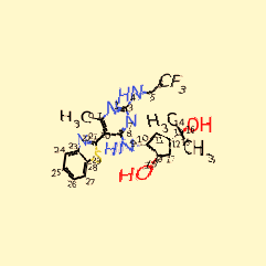 Cc1nc(NCC(F)(F)F)nc(N[C@@H]2C[C@H](C(C)(C)O)C[C@H]2O)c1-c1nc2ccccc2s1